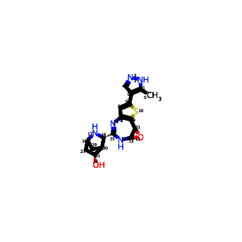 Cc1[nH]ncc1-c1cc2c(s1)C1OC1NC([C@H]1NC3CC1[C@@H](O)C3)=N2